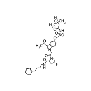 CC(=O)c1cn(CC(=O)N2C[C@H](F)C[C@H]2C(=O)NCCCCc2ccccc2)c2ccc(OCS(=O)(=O)NC(=O)CC(C)(C)C)cc12